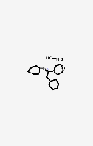 C1CCC(C/C(=N\C2CCCCC2)N2CCOCC2)CC1.O=[N+]([O-])O